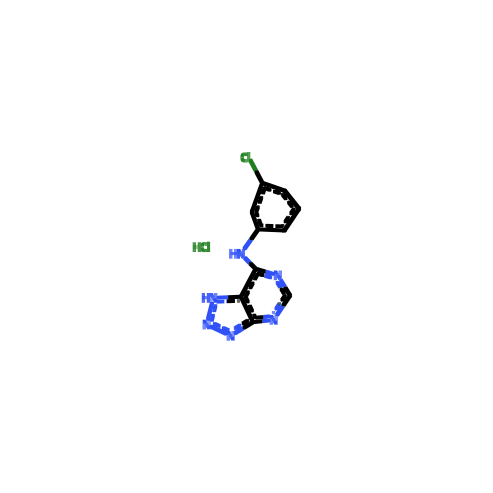 Cl.Clc1cccc(Nc2ncnc3nn[nH]c23)c1